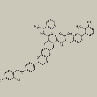 Cc1nccc(-c2ccc(C[C@H](NC(=O)[C@@H]3Cc4cc5c(cc4CN3C(=O)N[C@H](C)c3ccccc3)O[C@@H](c3ccc(OCc4ccc(Cl)cc4Cl)cc3)CO5)C(=O)O)cc2)c1C